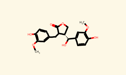 COc1cc(CC2C(=O)OC[C@@H]2C(O)c2ccc(O)c(OC)c2)ccc1O